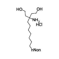 CCCCCCCCCCCCCCCCC(N)(CCO)CCO.Cl